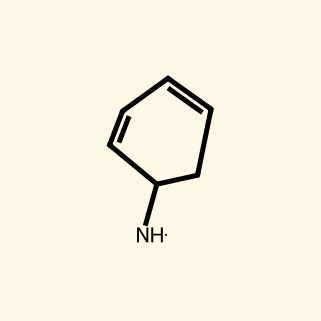 [NH]C1C=CC=CC1